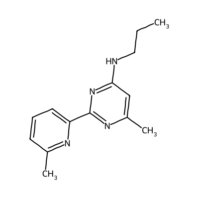 CCCNc1cc(C)nc(-c2cccc(C)n2)n1